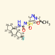 C[C@@H]1Cn2ncc([SH](=O)=NC(=O)Nc3c4c(cc5c3C[C@H](F)C5)CCC4)c2O1